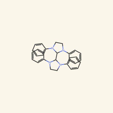 c1ccc(N2CCN(c3ccccc3)C2C2N(c3ccccc3)CCN2c2ccccc2)cc1